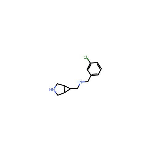 Clc1cccc(CNCC2C3CNCC23)c1